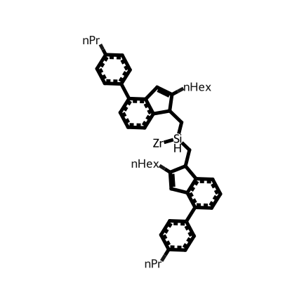 CCCCCCC1=Cc2c(-c3ccc(CCC)cc3)cccc2C1C[SiH]([Zr])CC1C(CCCCCC)=Cc2c(-c3ccc(CCC)cc3)cccc21